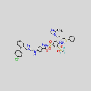 CC1=NCCN1CC[C@H](CSc1ccccc1)Nc1ccc(S(=O)(=O)NC(=O)c2ccc(NCCNCc3ccccc3-c3ccc(Cl)cc3)cc2)cc1S(=O)(=O)C(F)(F)F